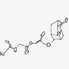 CC(C)(C)C(=O)OCC(=O)OCC(=O)OC1C2CC3CC(C2)C(=O)OC1C3